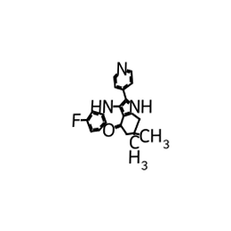 CC1(C)CC(=O)c2c([nH]c(-c3ccncc3)c2Nc2cccc(F)c2)C1